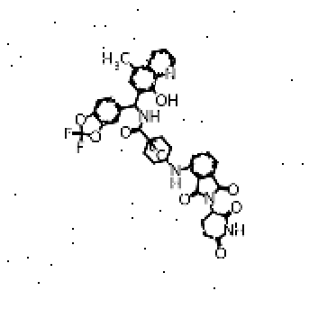 Cc1cc(C(NC(=O)C23CCC(Nc4cccc5c4C(=O)N(C4CCC(=O)NC4=O)C5=O)(CC2)CC3)c2ccc3c(c2)OC(F)(F)O3)c(O)c2ncccc12